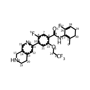 CC1=C(NC(=O)c2cc(F)c(-c3cc4c(cn3)CNCC4)cc2OCC(F)(F)F)C(F)=CCC1